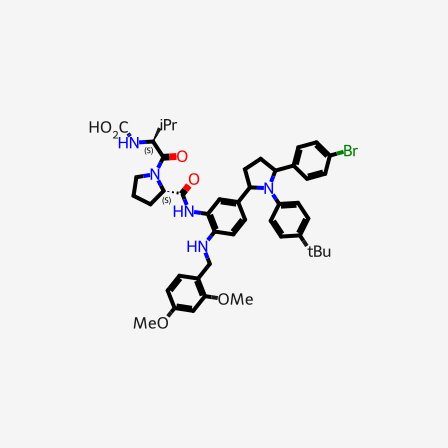 COc1ccc(CNc2ccc(C3CCC(c4ccc(Br)cc4)N3c3ccc(C(C)(C)C)cc3)cc2NC(=O)[C@@H]2CCCN2C(=O)[C@@H](NC(=O)O)C(C)C)c(OC)c1